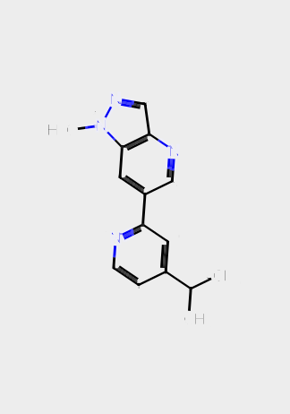 CC(C)c1ccnc(-c2cnc3cnn(C)c3c2)c1